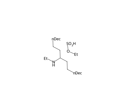 CCCCCCCCCCCCC(CCCCCCCCCCCC)NCC.CCOS(=O)(=O)O